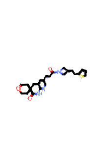 O=C(/C=C/c1cnc2c(c1)CC1(CCOCC1)C(=O)N2)N1CC(=CCc2cccs2)C1